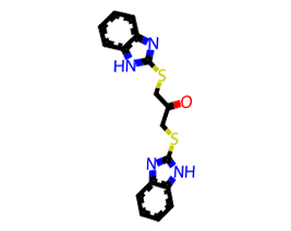 O=C(CSc1nc2ccccc2[nH]1)CSc1nc2ccccc2[nH]1